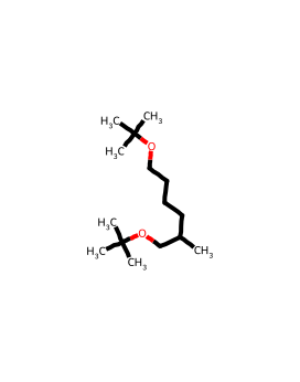 CC(CCCCOC(C)(C)C)COC(C)(C)C